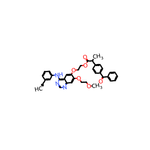 C#Cc1cccc(Nc2ncnc3cc(OCCOC)c(OCCOC(=O)C(C)c4ccc(C(=O)c5ccccc5)cc4)cc23)c1